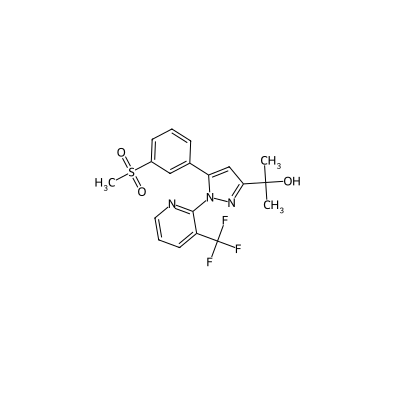 CC(C)(O)c1cc(-c2cccc(S(C)(=O)=O)c2)n(-c2ncccc2C(F)(F)F)n1